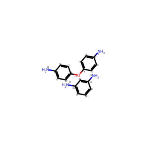 Nc1ccc(Oc2ccc(N)cc2)cc1.Nc1cccc(N)c1